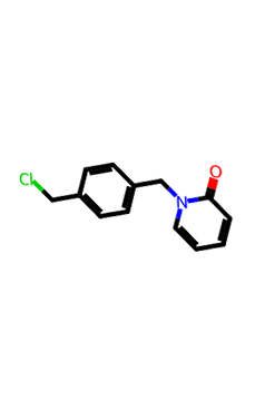 O=c1ccccn1Cc1ccc(CCl)cc1